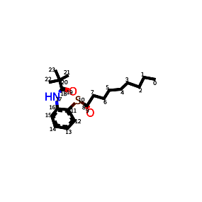 CCCCCCCCC(=O)Sc1ccccc1NC(=O)C(C)(C)C